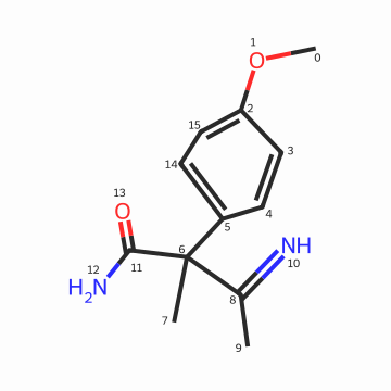 COc1ccc(C(C)(C(C)=N)C(N)=O)cc1